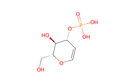 O=P(O)(O)O[C@@H]1C=CO[C@H](CO)[C@H]1O